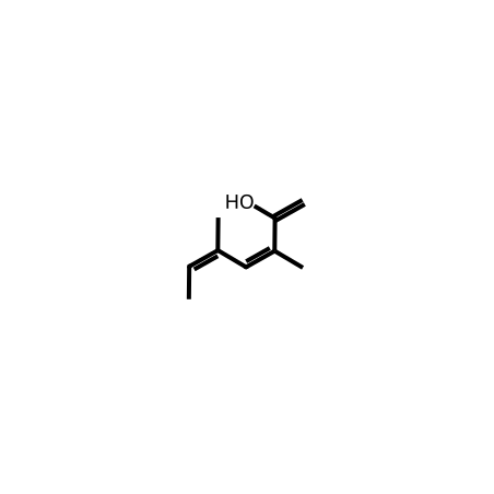 C=C(O)/C(C)=C\C(C)=C/C